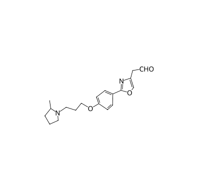 CC1CCCN1CCCOc1ccc(-c2nc(CC=O)co2)cc1